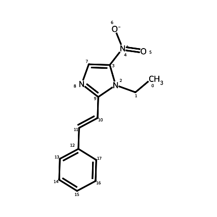 CCn1c([N+](=O)[O-])cnc1/C=C/c1ccccc1